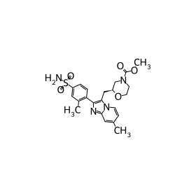 COC(=O)N1CCO[C@@H](Cc2c(-c3ccc(S(N)(=O)=O)cc3C)nc3cc(C)ccn23)C1